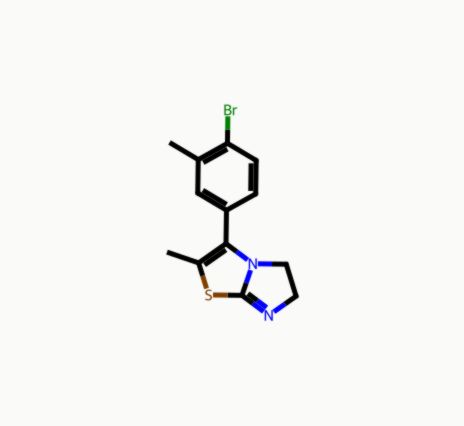 CC1=C(c2ccc(Br)c(C)c2)N2CCN=C2S1